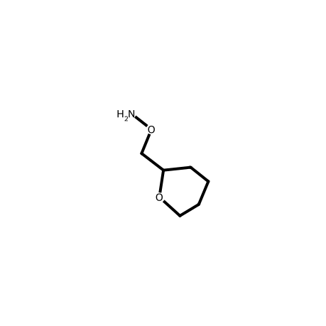 NOCC1CCCCO1